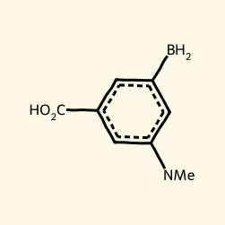 Bc1cc(NC)cc(C(=O)O)c1